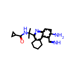 CC(C)(NC(=O)C1CC1)c1nc2ccc(N)c(C=N)c2c2c1CCCC2